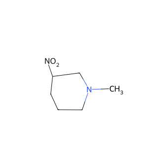 CN1CCCC([N+](=O)[O-])C1